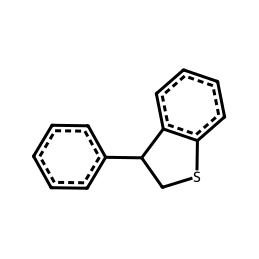 c1ccc(C2CSc3ccccc32)cc1